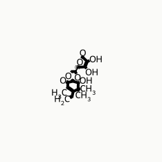 C=CC1=C(C)C(=O)C2(OCC([C@H]3OC(=O)C(O)=C3O)O2)C(O)C1(C)C